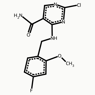 COc1cc(F)ccc1CNc1nc(Cl)ncc1C(N)=O